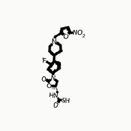 O=C(S)NC[C@H]1CN(c2ccc(C3CCN(Cc4ccc([N+](=O)[O-])o4)CC3)c(F)c2)C(=O)O1